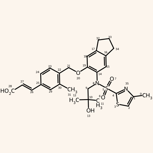 Cc1csc(S(=O)(=O)N(CC(C)(C)O)c2cc3c(cc2OCc2ccc(C=CC(=O)O)cc2C)CCC3)n1